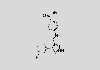 CCCC(=O)c1ccc(NCc2c[nH]nc2-c2cccc(F)c2)cc1